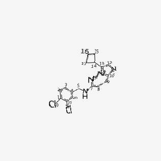 Clc1ccc(CNc2ccc3ncc(C4CCC4)n3n2)cc1Cl